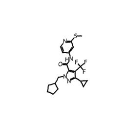 CSc1cc(NC(=O)c2c(C(F)(F)F)c(C3CC3)nn2CC2CCCC2)ccn1